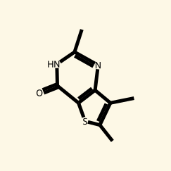 Cc1nc2c(C)c(C)sc2c(=O)[nH]1